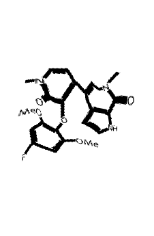 COc1cc(F)cc(OC)c1Oc1c(-c2cn(C)c(=O)c3[nH]ccc23)ccn(C)c1=O